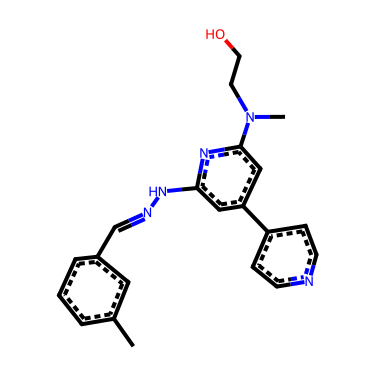 Cc1cccc(C=NNc2cc(-c3ccncc3)cc(N(C)CCO)n2)c1